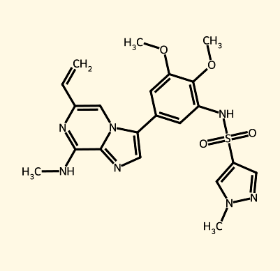 C=Cc1cn2c(-c3cc(NS(=O)(=O)c4cnn(C)c4)c(OC)c(OC)c3)cnc2c(NC)n1